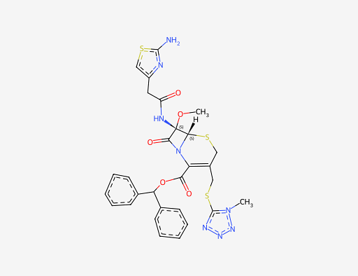 CO[C@@]1(NC(=O)Cc2csc(N)n2)C(=O)N2C(C(=O)OC(c3ccccc3)c3ccccc3)=C(CSc3nnnn3C)CS[C@H]21